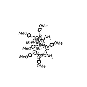 COc1ccc(CCN(CC(=O)N(CCc2ccc(OC)cc2)CC(=O)N(CCN)CC(=O)N(CCc2ccc(OC)cc2)CC(=O)N(CCc2ccc(OC)cc2)CC(=O)C(C)(C)C)C(=O)CN(CCN)C(=O)CN(CCc2ccc(OC)cc2)C(=O)CN(CCc2ccc(OC)cc2)C(=O)CN(CCN)C(C)(C)C)cc1